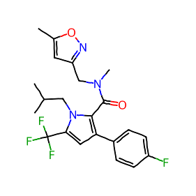 Cc1cc(CN(C)C(=O)c2c(-c3ccc(F)cc3)cc(C(F)(F)F)n2CC(C)C)no1